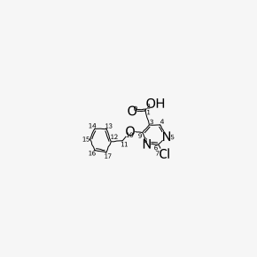 O=C(O)c1cnc(Cl)nc1OCc1ccccc1